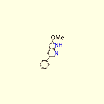 COc1cc2cc(-c3ccccc3)cnc2[nH]1